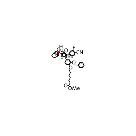 COC(=O)CCCCCCOc1ccc(-c2sc(C(=O)N3C4CCC3CC(NC(=O)OC(C)(C)C)C4)cc2-c2ccc(C#N)c(F)c2)cc1OCc1ccccc1